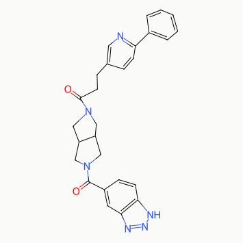 O=C(CCc1ccc(-c2ccccc2)nc1)N1CC2CN(C(=O)c3ccc4[nH]nnc4c3)CC2C1